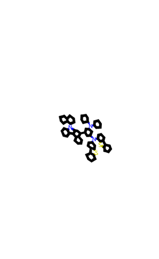 c1ccc(N(c2ccccc2)c2cc(-c3cc4c(c5ccccc35)c3ccccc3n4-c3cccc4ccccc34)cc(N(c3ccc4c(c3)sc3ccccc34)c3cccc4c3sc3ccccc34)c2)cc1